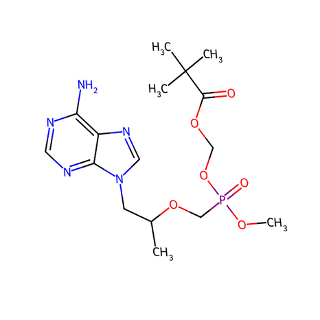 COP(=O)(COC(C)Cn1cnc2c(N)ncnc21)OCOC(=O)C(C)(C)C